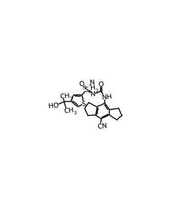 CC(C)(O)c1csc([S@@](N)(=O)=NC(=O)Nc2c3c(c(C#N)c4c2CCC4)CCC3)c1